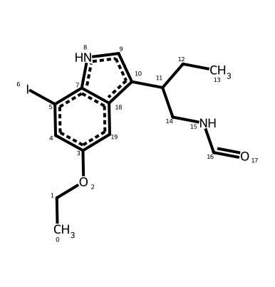 CCOc1cc(I)c2[nH]cc(C(CC)CNC=O)c2c1